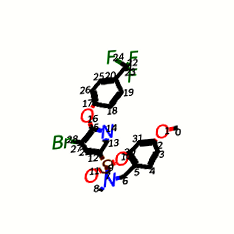 COc1ccc(CN(C)S(=O)(=O)c2cnc(Oc3ccc(C(F)(F)F)cc3)c(Br)c2)cc1